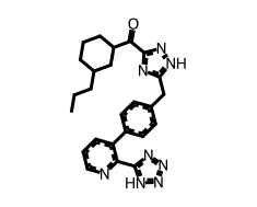 CCCC1CCCC(C(=O)c2n[nH]c(Cc3ccc(-c4cccnc4-c4nnn[nH]4)cc3)n2)C1